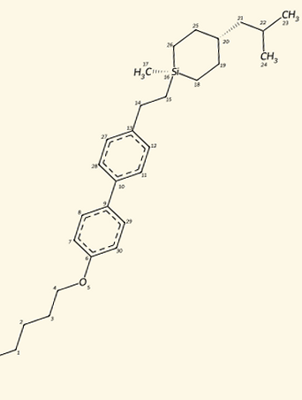 CCCCCOc1ccc(-c2ccc(CC[Si@]3(C)CC[C@@H](CC(C)C)CC3)cc2)cc1